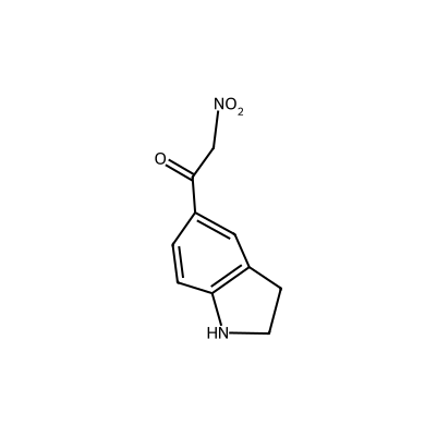 O=C(C[N+](=O)[O-])c1ccc2c(c1)CCN2